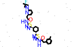 Cc1cccc(CC(=O)Nc2nnc([C@H]3CCC[C@H](c4nnc(NC(=O)Cc5cccc(N6CC(C)(F)C6)n5)s4)C3)s2)c1